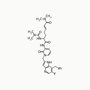 CC(C)Cc1c(F)cnc2cc(Cn3cccc(NC(=O)C(CC/C=C/C(=O)N(C)C)NC(=O)N(C)C)c3=O)[nH]c12